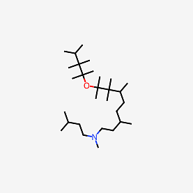 CC(C)CCN(C)CCC(C)CCC(C)C(C)(C)C(C)(C)OC(C)(C)C(C)(C)C(C)C